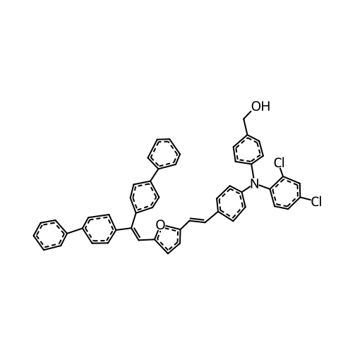 OCc1ccc(N(c2ccc(C=Cc3ccc(C=C(c4ccc(-c5ccccc5)cc4)c4ccc(-c5ccccc5)cc4)o3)cc2)c2ccc(Cl)cc2Cl)cc1